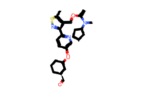 C=C(OCc1c(-c2ccc(OC3CCC[C@H](C=O)C3)cn2)nsc1C)N(C)C1CCCC1